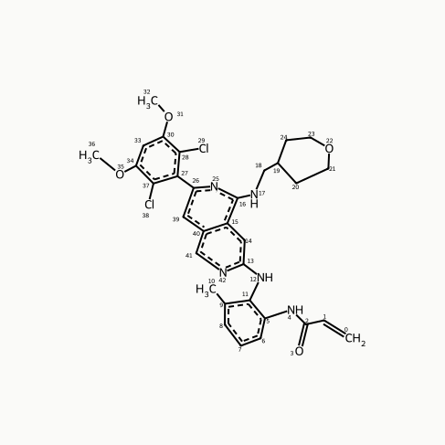 C=CC(=O)Nc1cccc(C)c1Nc1cc2c(NCC3CCOCC3)nc(-c3c(Cl)c(OC)cc(OC)c3Cl)cc2cn1